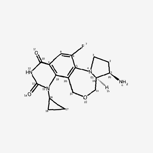 N[C@@H]1CCN2c3c(F)cc4c(=O)[nH]c(=O)n(C5CC5)c4c3COC[C@H]12